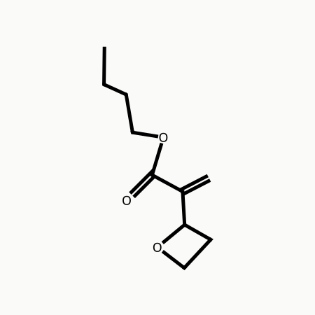 C=C(C(=O)OCCCC)C1CCO1